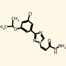 CC(C)Oc1cc(Cl)cc(-c2ncn(/C=C\C(=O)NN)n2)c1